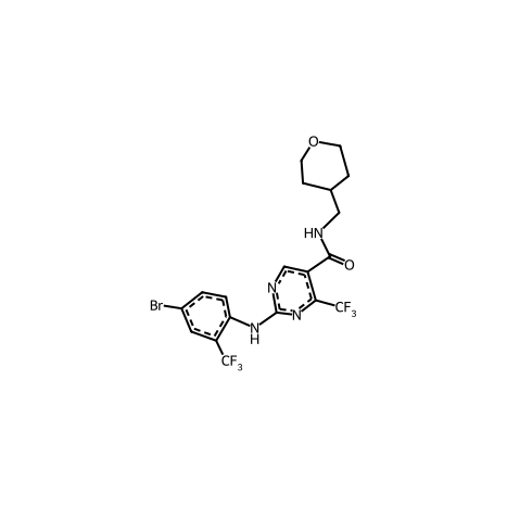 O=C(NCC1CCOCC1)c1cnc(Nc2ccc(Br)cc2C(F)(F)F)nc1C(F)(F)F